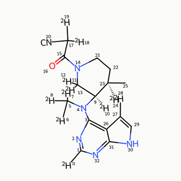 [2H]c1nc(N(C([2H])([2H])[2H])[C@@]2([2H])C([2H])([2H])N(C(=O)C([2H])([2H])[N+]#[C-])CC[C@@]2([2H])C)c2c([2H])c[nH]c2n1